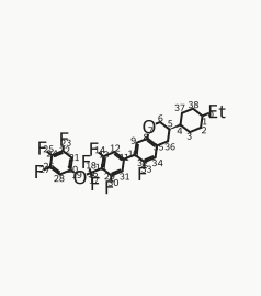 CCC1CCC([C@@H]2COc3cc(-c4cc(F)c(C(F)(F)Oc5cc(F)c(F)c(F)c5)c(F)c4)c(F)cc3C2)CC1